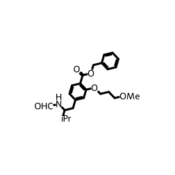 COCCCOc1cc(CC(NC=O)C(C)C)ccc1C(=O)OCc1ccccc1